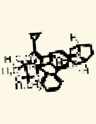 CC1(C)OB(c2ccc(N3[C@@H]4CC[C@H]3CC(OCc3c(-c5ccccc5OC(F)(F)F)noc3C3CC3)C4)cc2)OC1(C)C